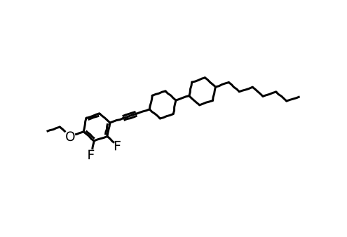 CCCCCCCC1CCC(C2CCC(C#Cc3ccc(OCC)c(F)c3F)CC2)CC1